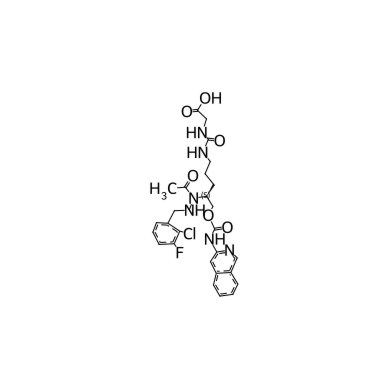 CC(=O)N(NCc1cccc(F)c1Cl)[C@@H](CCCNC(=O)NCC(=O)O)COC(=O)Nc1cc2ccccc2cn1